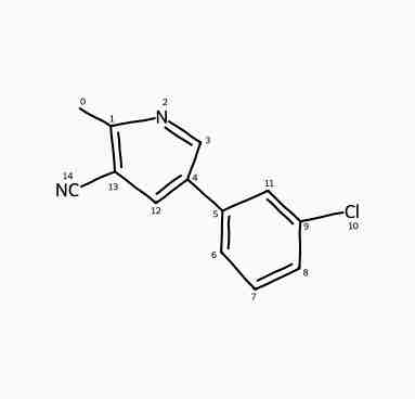 Cc1ncc(-c2cccc(Cl)c2)cc1C#N